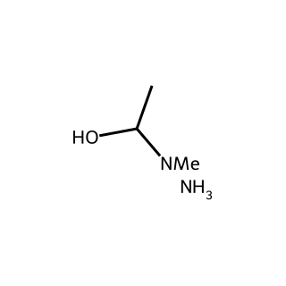 CNC(C)O.N